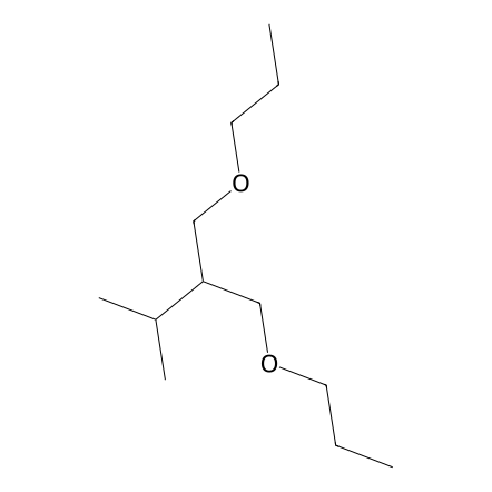 CCCOCC(COCCC)C(C)C